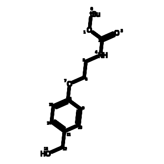 CC(C)(C)OC(=O)NCCOc1ccc(CO)cc1